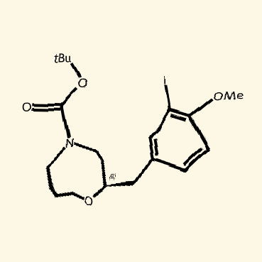 COc1ccc(C[C@@H]2CN(C(=O)OC(C)(C)C)CCO2)cc1I